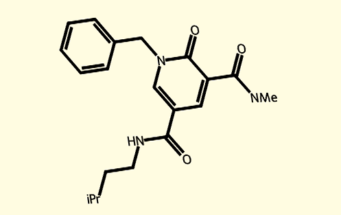 CNC(=O)c1cc(C(=O)NCCC(C)C)cn(Cc2ccccc2)c1=O